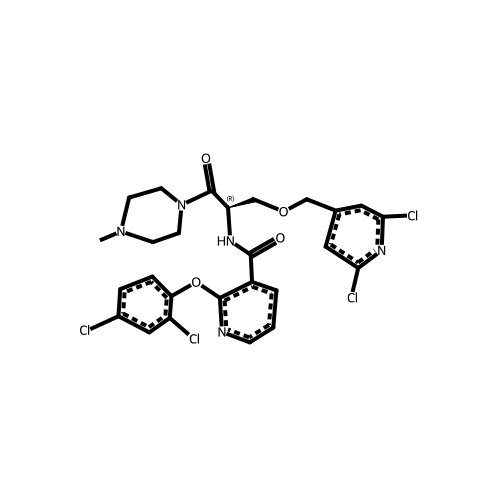 CN1CCN(C(=O)[C@@H](COCc2cc(Cl)nc(Cl)c2)NC(=O)c2cccnc2Oc2ccc(Cl)cc2Cl)CC1